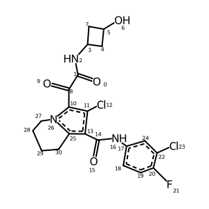 O=C(NC1CC(O)C1)C(=O)c1c(Cl)c(C(=O)Nc2ccc(F)c(Cl)c2)c2n1CCCC2